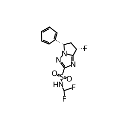 O=S(=O)(NC(F)F)c1nc2n(n1)[C@H](c1ccccc1)C[C@@H]2F